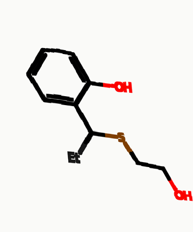 CCC(SCCO)c1ccccc1O